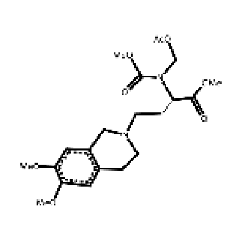 COC(=O)[C@H](CCN1CCc2cc(OC)c(OC)cc2C1)N(COC(C)=O)C(=O)OC